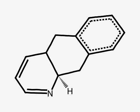 C1=CC2Cc3ccccc3C[C@H]2N=C1